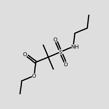 CCCNS(=O)(=O)C(C)(C)C(=O)OCC